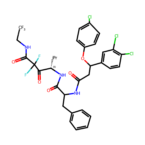 CC(C)[C@H](NC(=O)C(Cc1ccccc1)NC(=O)CC(Oc1ccc(Cl)cc1)c1ccc(Cl)c(Cl)c1)C(=O)C(F)(F)C(=O)NCC(F)(F)F